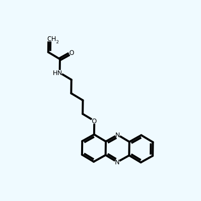 C=CC(=O)NCCCCOc1cccc2nc3ccccc3nc12